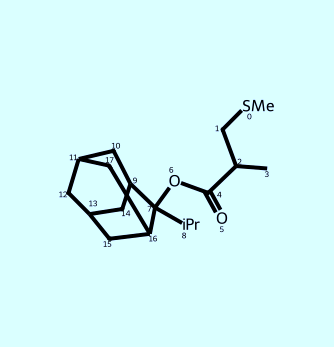 CSCC(C)C(=O)OC1(C(C)C)C2CC3CC(C2)CC1C3